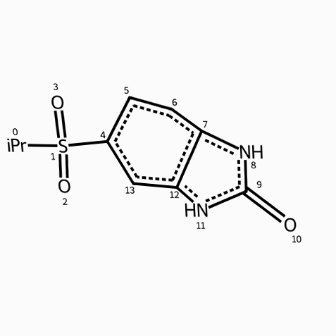 CC(C)S(=O)(=O)c1ccc2[nH]c(=O)[nH]c2c1